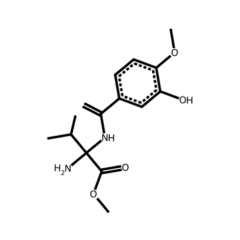 C=C(NC(N)(C(=O)OC)C(C)C)c1ccc(OC)c(O)c1